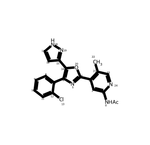 CC(=O)Nc1cc(-c2nc(-c3ccccc3Cl)c(-c3cc[nH]n3)o2)c(C)cn1